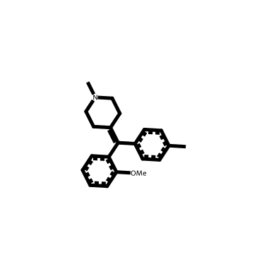 COc1ccccc1C(=C1CCN(C)CC1)c1ccc(C)cc1